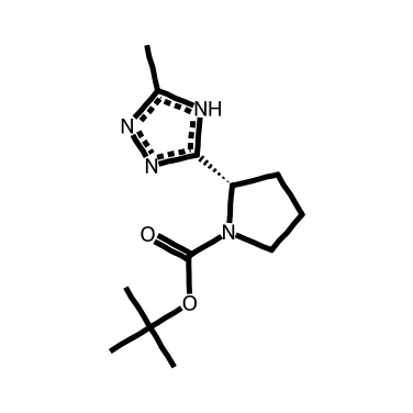 Cc1nnc([C@@H]2CCCN2C(=O)OC(C)(C)C)[nH]1